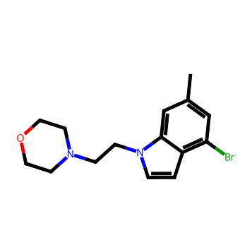 Cc1cc(Br)c2ccn(CCN3CCOCC3)c2c1